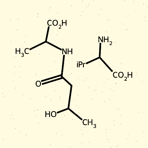 CC(C)C(N)C(=O)O.CC(O)CC(=O)NC(C)C(=O)O